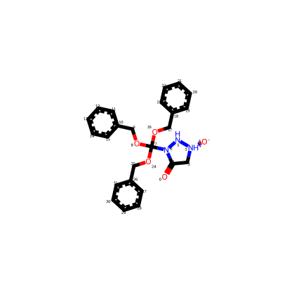 O=C1C[NH+]([O-])NN1C(OCc1ccccc1)(OCc1ccccc1)OCc1ccccc1